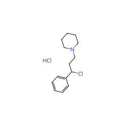 Cl.ClC(CCN1CCCCC1)c1ccccc1